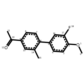 COc1ccc(-c2ccc(C(C)=O)cc2C)cc1F